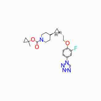 CC1(OC(=O)N2CCC([C@H]3C[C@@H]3CCOc3ccc(-n4cnnn4)cc3F)CC2)CC1